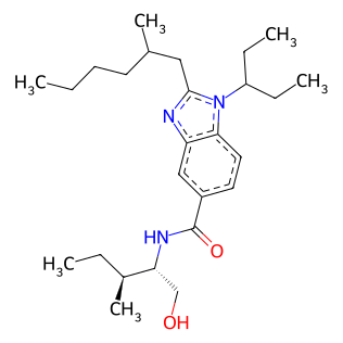 CCCCC(C)Cc1nc2cc(C(=O)N[C@H](CO)[C@@H](C)CC)ccc2n1C(CC)CC